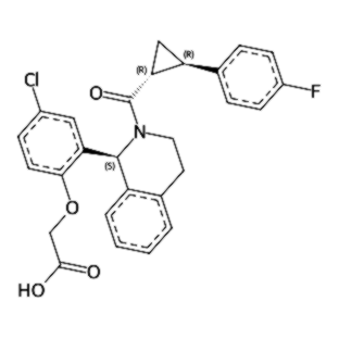 O=C(O)COc1ccc(Cl)cc1[C@@H]1c2ccccc2CCN1C(=O)[C@@H]1C[C@H]1c1ccc(F)cc1